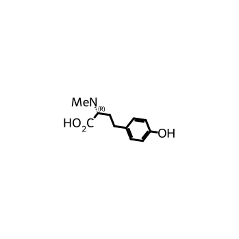 CN[C@H](CCc1ccc(O)cc1)C(=O)O